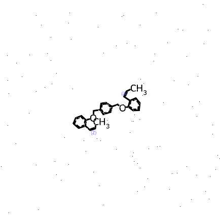 C/C=C\c1ccccc1OCc1ccc(COc2ccccc2/C=C\C)cc1